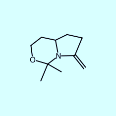 C=C1CCC2CCOC(C)(C)N12